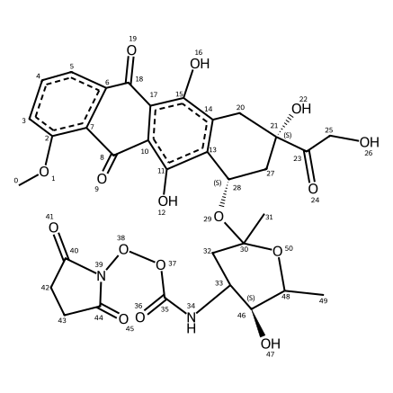 COc1cccc2c1C(=O)c1c(O)c3c(c(O)c1C2=O)C[C@@](O)(C(=O)CO)C[C@@H]3OC1(C)CC(NC(=O)OON2C(=O)CCC2=O)[C@H](O)C(C)O1